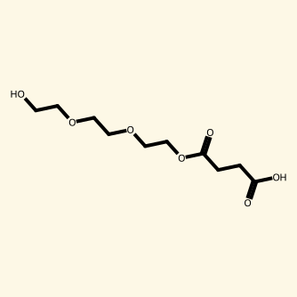 O=C(O)CCC(=O)OCCOCCOCCO